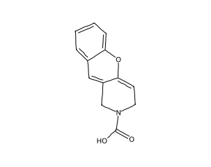 O=C(O)N1CC=C2Oc3ccccc3C=C2C1